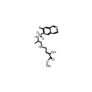 CC(CNCCC(O)C(=O)OC(C)(C)C)NS(=O)(=O)c1cc2ccncc2cc1F